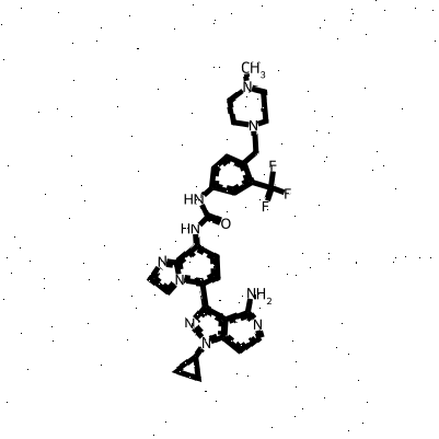 CN1CCN(Cc2ccc(NC(=O)Nc3ccc(-c4nn(C5CC5)c5ccnc(N)c45)n4ccnc34)cc2C(F)(F)F)CC1